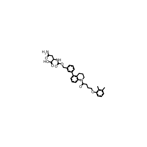 Cc1cccc(OCCCC(=O)N2CCCc3c(-c4cccc(COC(=O)NC(CC(N)=O)C(=O)O)c4)cccc32)c1C